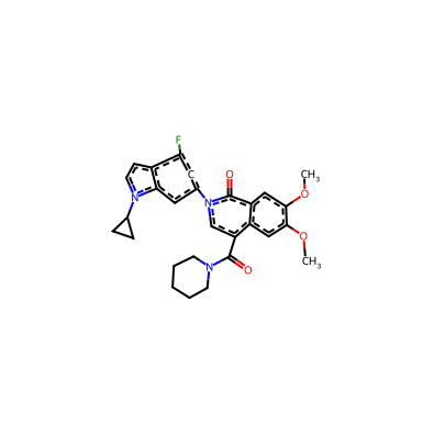 COc1cc2c(C(=O)N3CCCCC3)cn(-c3cc(F)c4ccn(C5CC5)c4c3)c(=O)c2cc1OC